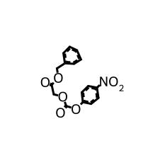 O=C(COC(=O)Oc1ccc([N+](=O)[O-])cc1)OCc1ccccc1